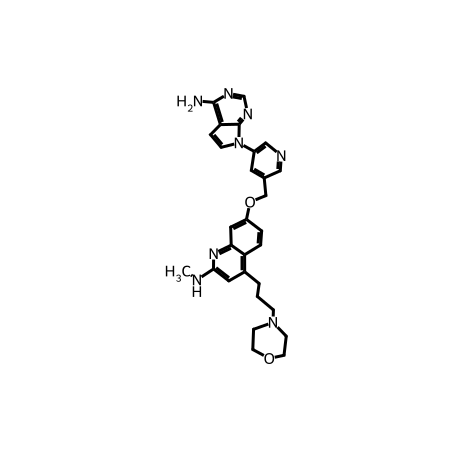 CNc1cc(CCCN2CCOCC2)c2ccc(OCc3cncc(-n4ccc5c(N)ncnc54)c3)cc2n1